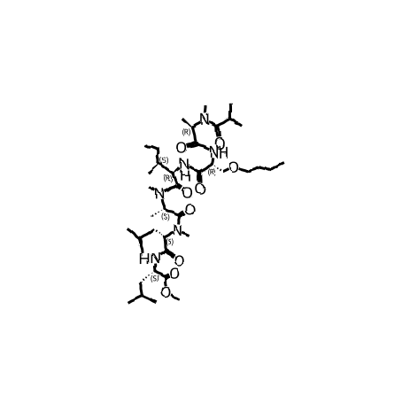 CCCCOC[C@@H](NC(=O)[C@@H](C)N(C)C(=O)C(C)C)C(=O)N[C@@H](C(=O)N(C)[C@@H](C)C(=O)N(C)[C@@H](CC(C)C)C(=O)N[C@@H](CC(C)C)C(=O)OC)[C@@H](C)CC